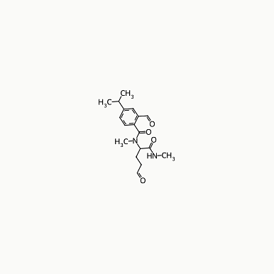 CNC(=O)C(CCC=O)N(C)C(=O)c1ccc(C(C)C)cc1C=O